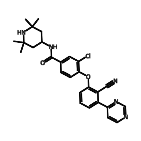 CC1(C)CC(NC(=O)c2ccc(Oc3cccc(-c4ccncn4)c3C#N)c(Cl)c2)CC(C)(C)N1